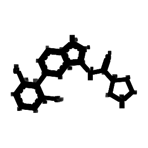 O=C(Nc1n[nH]c2ccc(-c3c(Cl)cccc3Cl)cc12)C1CCNC1